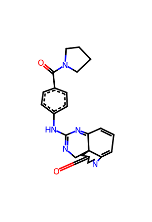 O=C1CC=NC2=CC=CC3=NC(Nc4ccc(C(=O)N5CCCC5)cc4)=NCC23C1